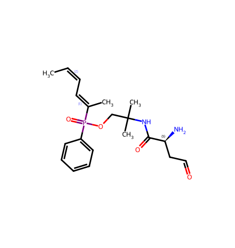 C/C=C\C=C(/C)P(=O)(OCC(C)(C)NC(=O)[C@@H](N)CC=O)c1ccccc1